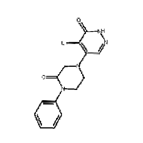 O=C1CN(c2cn[nH]c(=O)c2Cl)CCN1c1ccccc1